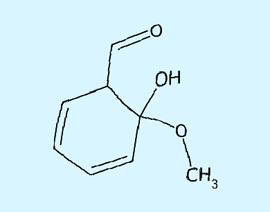 COC1(O)C=CC=CC1C=O